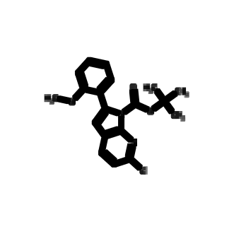 COc1ccccc1-c1cc2ccc(Cl)nc2n1C(=O)OC(C)(C)C